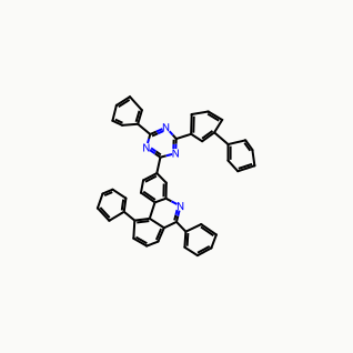 c1ccc(-c2cccc(-c3nc(-c4ccccc4)nc(-c4ccc5c(c4)nc(-c4ccccc4)c4cccc(-c6ccccc6)c45)n3)c2)cc1